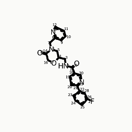 O=C(NCC1CN(Cc2ccccn2)C(=O)CO1)c1ccc(-c2cccc(F)c2)nc1